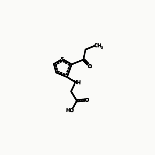 CCC(=O)c1sccc1NCC(=O)O